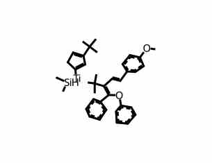 COc1ccc(C=CC(=C(Oc2ccccc2)c2ccccc2)C(C)(C)C)cc1.C[SiH](C)[Ti][C]1=CC(C(C)(C)C)=CC1